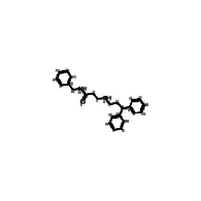 O=C(CCNCCC(c1ccccc1)c1ccccc1)NCc1ccccc1